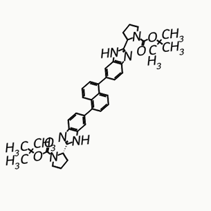 CC(C)(C)OC(=O)N1CCCC1c1nc2ccc(-c3cccc4c(-c5ccc6nc([C@@H]7CCCN7C(=O)OC(C)(C)C)[nH]c6c5)cccc34)cc2[nH]1